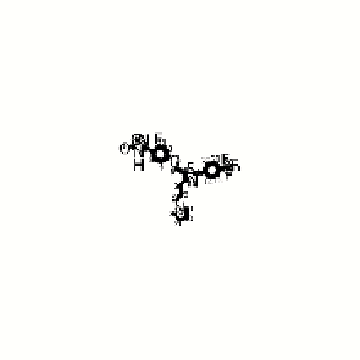 O=c1[nH]c(-c2ccc(OCc3sc(-c4ccc(C(F)(F)F)cc4)nc3CCCN3CCCC3)cc2F)no1